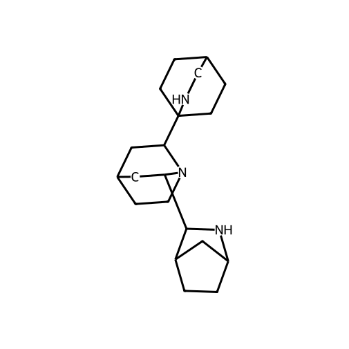 C1CC2(C3CC4CCN3C(C3NC5CCC3C5)C4)CCC1CN2